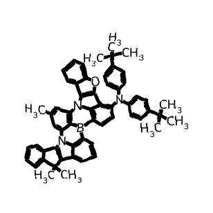 Cc1cc2c3c(c1)-n1c4c(ccc(N(c5ccc(C(C)(C)C)cc5)c5ccc(C(C)(C)C)cc5)c4c4oc5ccccc5c41)B3c1cccc3c4c(n-2c13)-c1ccccc1C4(C)C